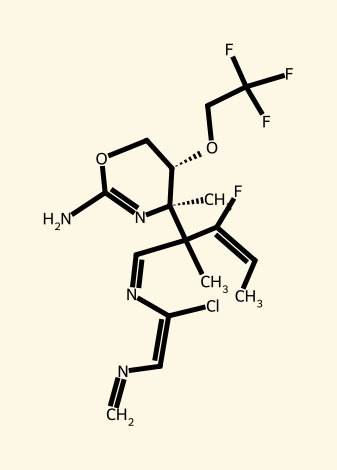 C=N/C=C(Cl)\N=C/C(C)(/C(F)=C\C)[C@@]1(C)N=C(N)OC[C@@H]1OCC(F)(F)F